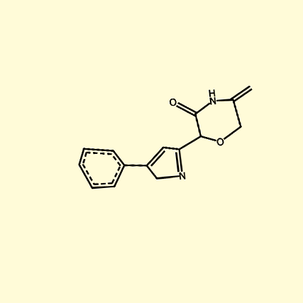 C=C1COC(C2=NCC(c3ccccc3)=C2)C(=O)N1